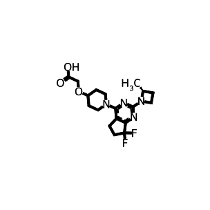 C[C@H]1CCN1c1nc(N2CCC(OCC(=O)O)CC2)c2c(n1)C(F)(F)CC2